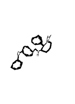 c1ccc(Oc2ccc(CNC3CCCNC3c3ccccc3)cc2)cc1